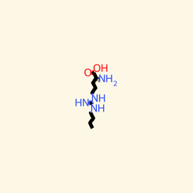 CCCCNC(=N)NCCC[C@H](N)C(=O)O